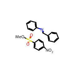 C(=N\c1ccccc1)/c1ccccc1.COS(=O)(=O)c1ccc([N+](=O)[O-])cc1